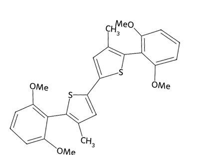 COc1cccc(OC)c1-c1sc(-c2cc(C)c(-c3c(OC)cccc3OC)s2)cc1C